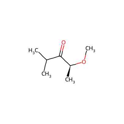 CO[C@@H](C)C(=O)C(C)C